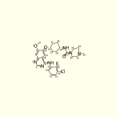 COc1cc2ncnc(Nc3cccc(Cl)c3F)c2cc1O[C@H]1CC[C@@H](NC(=O)N2CCN(C)CC2)CC1